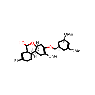 CCC1=CC2C(O)O[C@H]3CC(OC[C@@H]4CC(OC)=C[C@H](OC)C4)=C(OC)C[C@H]3[C@H]2CC1